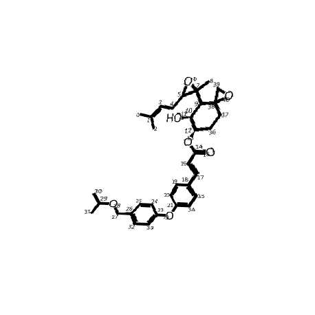 CC(C)=CCC1OC1(C)C1[C@H](O)[C@H](OC(=O)/C=C/c2ccc(Oc3ccc(COC(C)C)cc3)cc2)CCC12CO2